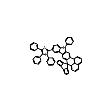 c1ccc(-c2nc(-c3ccc4c(c3)c3cc5c(cc3n4-c3ccccc3)-c3cccc4cccc(c34)C53c4ccccc4-c4ccccc43)n(-c3ccccc3)c2-c2ccccc2)cc1